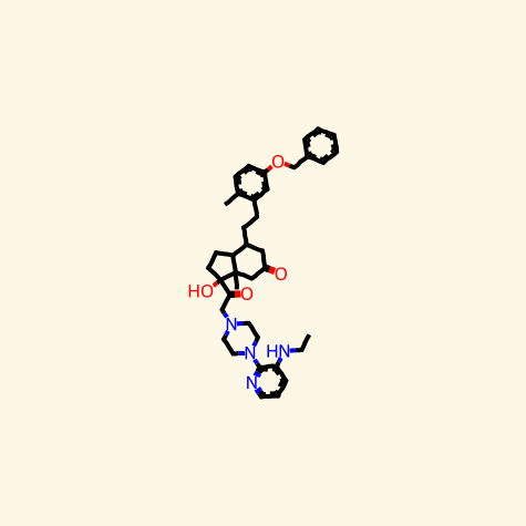 CCNc1cccnc1N1CCN(CC(=O)C2(O)CCC3C(CCc4cc(OCc5ccccc5)ccc4C)CC(=O)CC32C)CC1